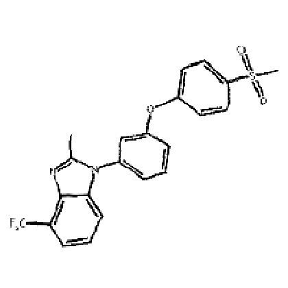 Cc1nc2c(C(F)(F)F)cccc2n1-c1cccc(Oc2ccc(S(C)(=O)=O)cc2)c1